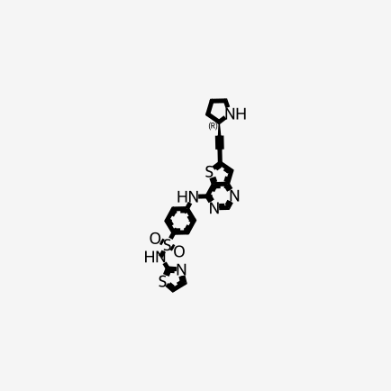 O=S(=O)(Nc1nccs1)c1ccc(Nc2ncnc3cc(C#C[C@H]4CCCN4)sc23)cc1